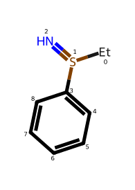 CCS(=N)c1ccccc1